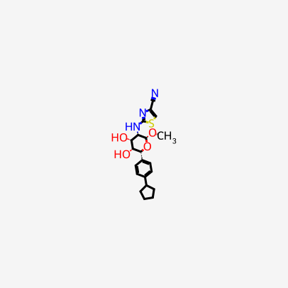 CO[C@@H]1O[C@H](c2ccc(C3CCCC3)cc2)[C@H](O)[C@H](O)[C@@H]1Nc1nc(C#N)cs1